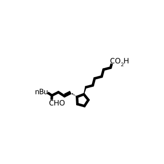 CCCCC(C=O)CC=C[C@H]1CCC[C@@H]1CCCCCCC(=O)O